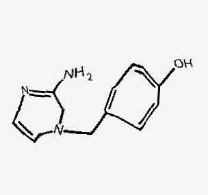 Nc1nccn1Cc1ccc(O)cc1